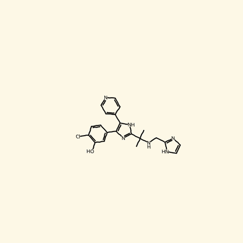 CC(C)(NCc1ncc[nH]1)c1nc(-c2ccc(Cl)c(O)c2)c(-c2ccncc2)[nH]1